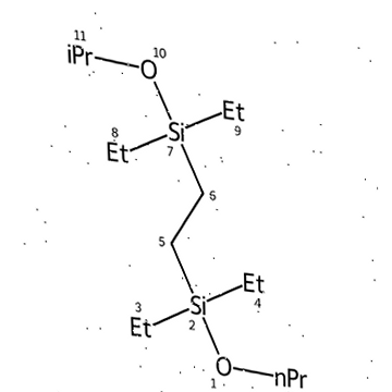 CCCO[Si](CC)(CC)CC[Si](CC)(CC)OC(C)C